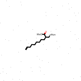 C=CCCCCCCCC(CCCCCCCCCC)C(=O)OC